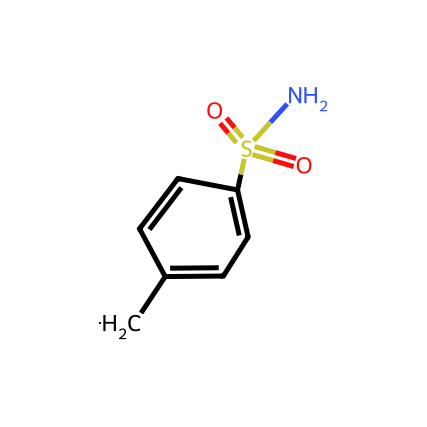 [CH2]c1ccc(S(N)(=O)=O)cc1